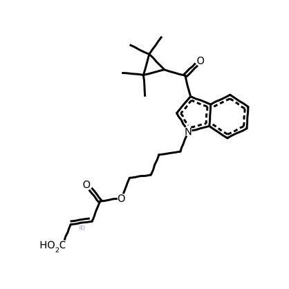 CC1(C)C(C(=O)c2cn(CCCCOC(=O)/C=C/C(=O)O)c3ccccc23)C1(C)C